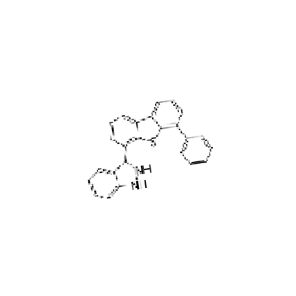 c1ccc(-c2cccc3c2sc2c(C4NNc5ccccc54)cccc23)cc1